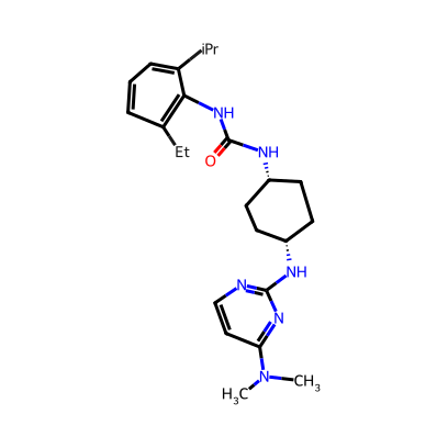 CCc1cccc(C(C)C)c1NC(=O)N[C@H]1CC[C@@H](Nc2nccc(N(C)C)n2)CC1